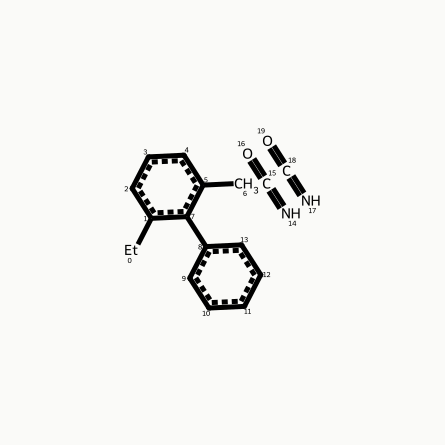 CCc1cccc(C)c1-c1ccccc1.N=C=O.N=C=O